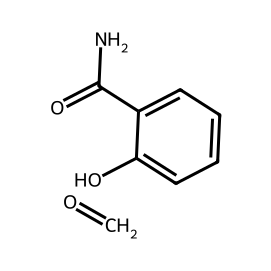 C=O.NC(=O)c1ccccc1O